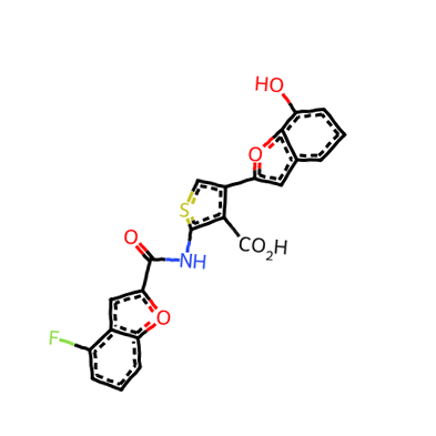 O=C(Nc1scc(-c2cc3cccc(O)c3o2)c1C(=O)O)c1cc2c(F)cccc2o1